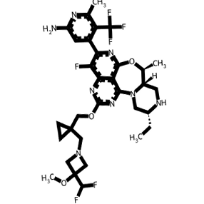 CC[C@@H]1CN2c3nc(OCC4(CN5CC(OC)(C(F)F)C5)CC4)nc4c(F)c(-c5cc(N)nc(C)c5C(F)(F)F)nc(c34)O[C@@H](C)[C@@H]2CN1